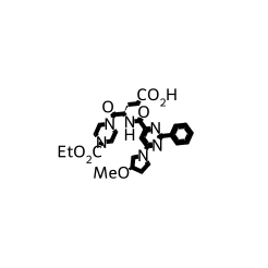 CCOC(=O)N1CCN(C(=O)[C@H](CCC(=O)O)NC(=O)c2cc(N3CC[C@@H](OC)C3)nc(-c3ccccc3)n2)CC1